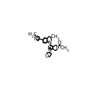 CC(=O)N1CCc2c(c(N3CC(C)Cc4cc(-c5cnn(C)c5)ccc43)nn2[C@@H]2CCOC2)C1